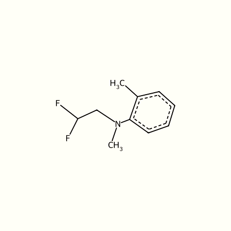 Cc1ccccc1N(C)CC(F)F